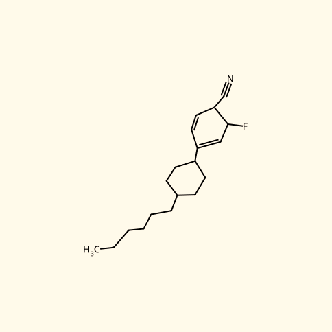 CCCCCCC1CCC(C2=CC(F)C(C#N)C=C2)CC1